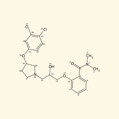 CN(C)C(=O)c1ccccc1OCC(O)CN1CCC(Oc2ccc(Cl)c(Cl)c2)C1